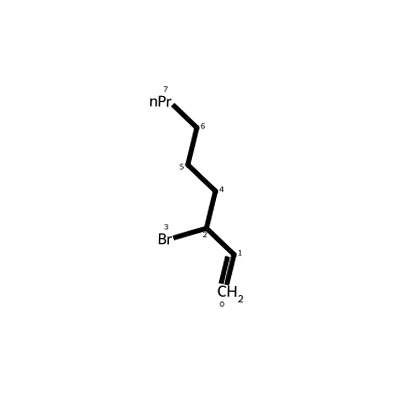 C=CC(Br)CCCCCC